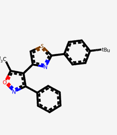 Cc1onc(-c2ccccc2)c1-c1csc(-c2ccc(C(C)(C)C)cc2)n1